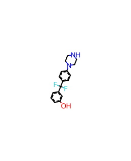 Oc1cccc(C(F)(F)c2ccc(N3CCNCC3)cc2)c1